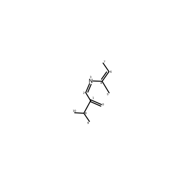 C=C(/C=N\C(C)=C/C)C(C)C